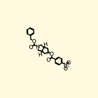 O=C(O[C@H]1C[C@@H]2CN(C(=O)OCc3ccccc3)C[C@@H]2C1)c1ccc([N+](=O)[O-])cc1